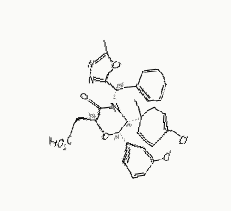 Cc1nnc([C@H](c2ccccc2)N2C(=O)[C@H](CC(=O)O)O[C@@H](c3cccc(Cl)c3)[C@H]2C2(C)C=CC(Cl)=CC2)o1